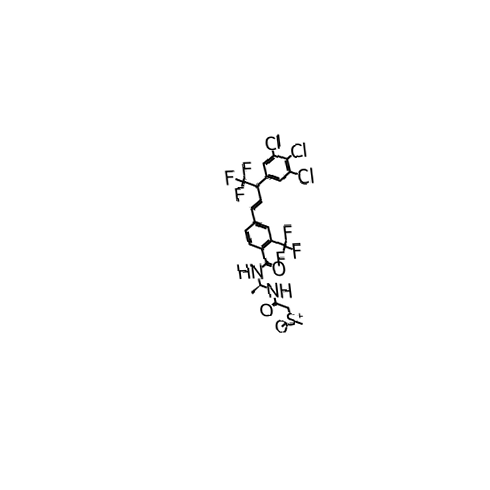 C[C@H](NC(=O)C[S+](C)[O-])NC(=O)c1ccc(/C=C/C(c2cc(Cl)c(Cl)c(Cl)c2)C(F)(F)F)cc1C(F)(F)F